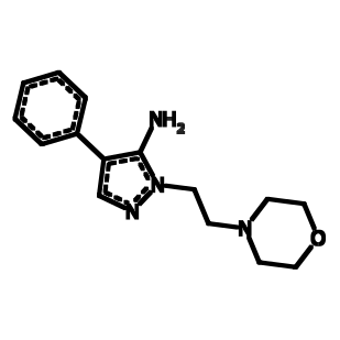 Nc1c(-c2ccccc2)cnn1CCN1CCOCC1